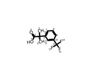 CC(C)(C(=O)O)c1cccc(C(F)(F)F)c1